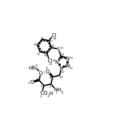 CCCCOC(=O)C(C(=O)O)C(N)C(=O)Cn1nnc(Sc2c(Cl)cccc2Cl)n1